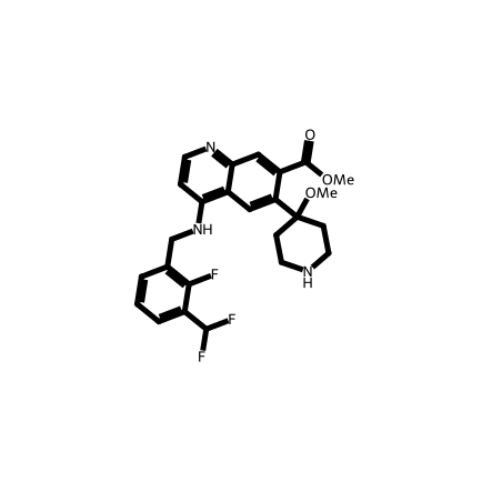 COC(=O)c1cc2nccc(NCc3cccc(C(F)F)c3F)c2cc1C1(OC)CCNCC1